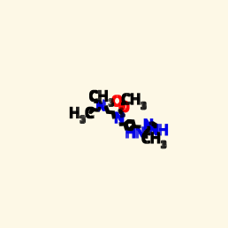 CCCN(CCC)CCCCN(CCOC(C)=O)Cc1ccc(CNC(C)c2ncc[nH]2)cc1